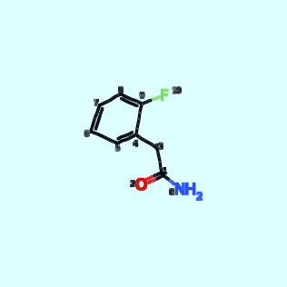 NC(=O)[CH]c1ccccc1F